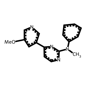 COc1cncc(-c2ccnc(N(C)c3ccccc3)n2)c1